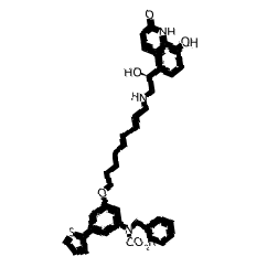 O=C(O)N(Cc1ccccc1)c1cc(OCCCCCCCCCNC[C@H](O)c2ccc(O)c3[nH]c(=O)ccc23)cc(-c2cccs2)c1